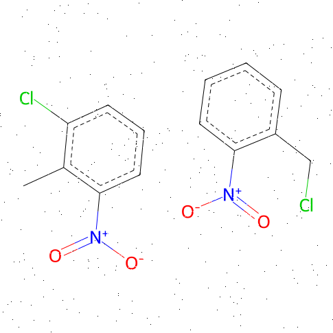 Cc1c(Cl)cccc1[N+](=O)[O-].O=[N+]([O-])c1ccccc1CCl